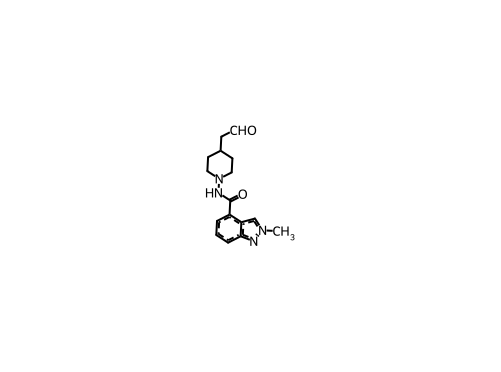 Cn1cc2c(C(=O)NN3CCC(CC=O)CC3)cccc2n1